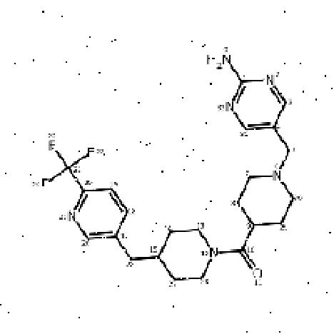 Nc1ncc(CN2CCC(C(=O)N3CCC(Cc4ccc(C(F)(F)F)nc4)CC3)CC2)cn1